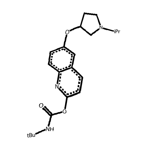 CC(C)N1CCC(Oc2ccc3nc(OC(=O)NC(C)(C)C)ccc3c2)C1